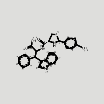 Cc1ccc(C2N[C@H](C(=O)NC(C(=O)O)C(c3ccccc3)c3c[nH]c4ccc#cc34)CS2)cc1